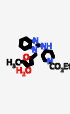 CCOC(=O)N1CCC(Nc2nc3ccccc3n2Cc2ccc(C)o2)CC1.O